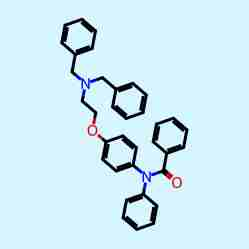 O=C(c1ccccc1)N(c1ccccc1)c1ccc(OCCN(Cc2ccccc2)Cc2ccccc2)cc1